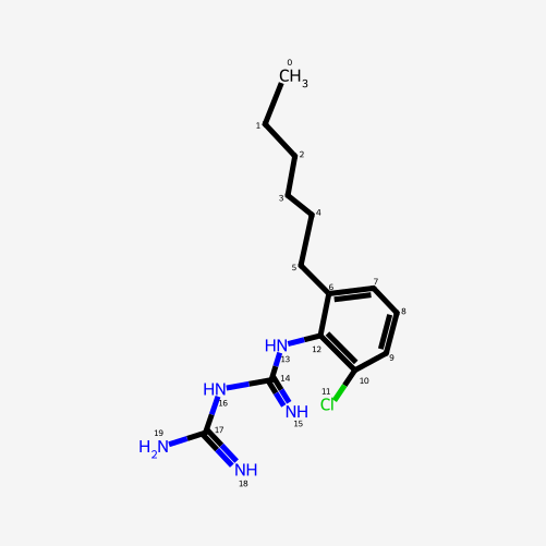 CCCCCCc1cccc(Cl)c1NC(=N)NC(=N)N